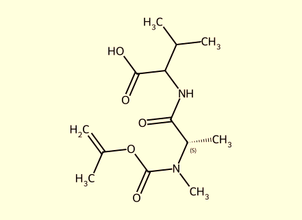 C=C(C)OC(=O)N(C)[C@@H](C)C(=O)NC(C(=O)O)C(C)C